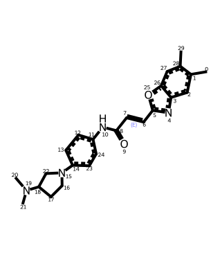 Cc1cc2nc(/C=C/C(=O)Nc3ccc(N4CCC(N(C)C)C4)cc3)oc2cc1C